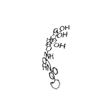 C[C@@H]1C[C@H]2[C@@H]3CCC4=C/C(=N/NC(=O)CNC(=O)OC5/C=C/CCCCC5)C=C[C@]4(C)[C@@]3(F)[C@@H](O)C[C@]2(C)[C@@]1(O)C(=O)CO